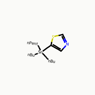 CCCC[CH2][Sn]([CH2]CCC)([CH2]CCC)[c]1cncs1